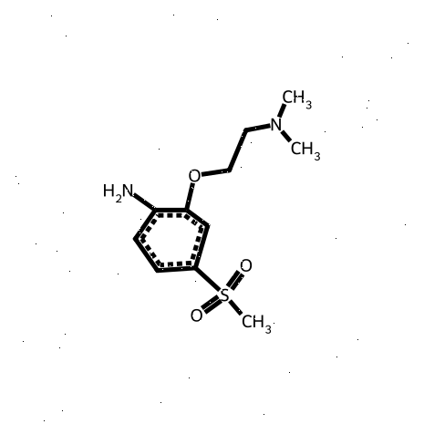 CN(C)CCOc1cc(S(C)(=O)=O)ccc1N